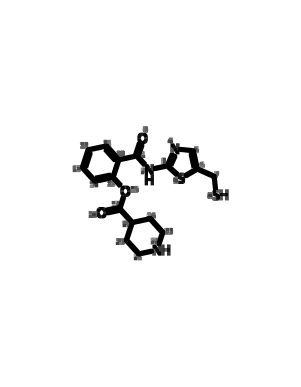 O=C(Nc1ncc(CS)s1)c1ccccc1OC(=O)C1CCNCC1